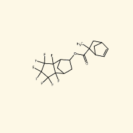 CC1(C(=O)OC2CC3CC2C2(F)C(F)(F)C(F)(F)C(F)(F)C32F)CC2C=CC1C2